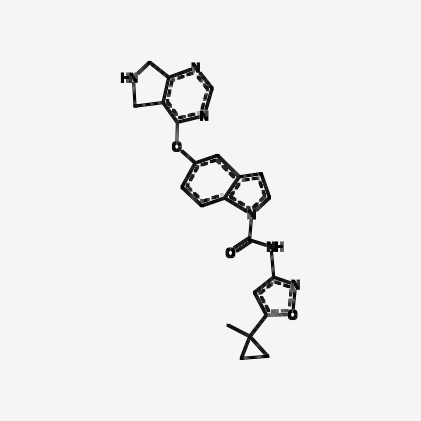 CC1(c2cc(NC(=O)n3ccc4cc(Oc5ncnc6c5CNC6)ccc43)no2)CC1